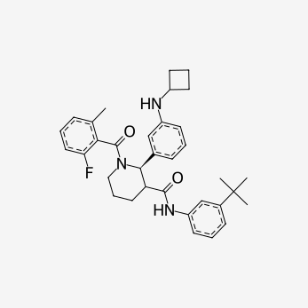 Cc1cccc(F)c1C(=O)N1CCCC(C(=O)Nc2cccc(C(C)(C)C)c2)[C@@H]1c1cccc(NC2CCC2)c1